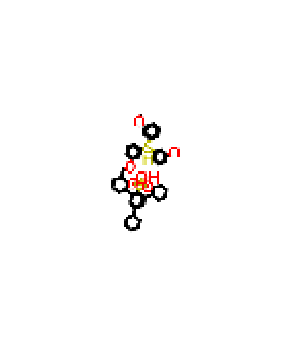 COc1cccc([SH](c2cccc(OC)c2)c2cccc(OCC3CCCC(c4cc(C5CCCCC5)cc(C5CCCCC5)c4S(=O)(=O)O)C3)c2)c1